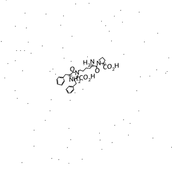 N[C@@H](CCCCN(C(=O)[C@@H](N)Cc1ccccc1)[C@@H](CCc1ccccc1)C(=O)O)C(=O)N1CCC[C@H]1C(=O)O